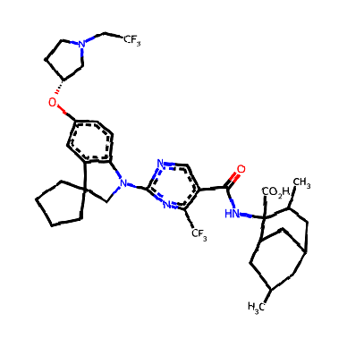 CC1CC2CC(C)C(NC(=O)c3cnc(N4CC5(CCCC5)c5cc(O[C@@H]6CCN(CC(F)(F)F)C6)ccc54)nc3C(F)(F)F)(C(=O)O)C(C1)C2